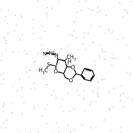 CS[C@@H]1OC2COC(c3ccccc3)O[C@@H]2[C@H](C)C1N=[N+]=[N-]